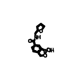 O=C(NCC1CCCO1)c1ccc2c(c1)B(O)OC2